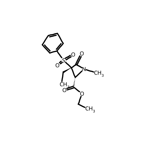 CCOC(=O)[C@H]1N(C)C(=O)[C@@]1(CC)S(=O)(=O)c1ccccc1